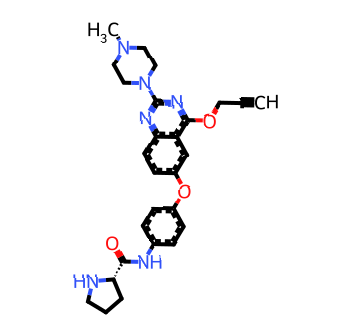 C#CCOc1nc(N2CCN(C)CC2)nc2ccc(Oc3ccc(NC(=O)[C@@H]4CCCN4)cc3)cc12